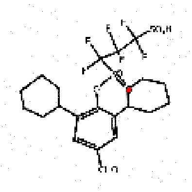 O=Cc1cc(C2CCCCC2)c(OS(=O)(=O)C(F)(F)C(F)(F)C(F)(F)S(=O)(=O)O)c(C2CCCCC2)c1